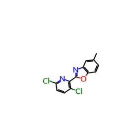 Cc1ccc2oc(-c3nc(Cl)ccc3Cl)nc2c1